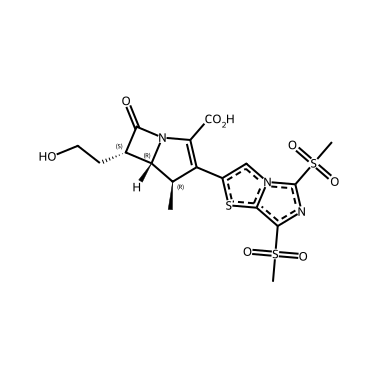 C[C@@H]1C(c2cn3c(S(C)(=O)=O)nc(S(C)(=O)=O)c3s2)=C(C(=O)O)N2C(=O)[C@@H](CCO)[C@@H]12